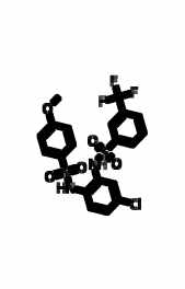 COc1ccc(S(=O)(=O)Nc2ccc(Cl)cc2NS(=O)(=O)c2cccc(C(F)(F)F)c2)cc1